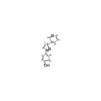 Oc1ccc(-n2ccc(-c3cccnc3)n2)cc1